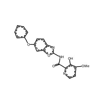 COc1ccnc(C(=O)Nc2nc3ccc(Oc4ccccc4)cc3o2)c1O